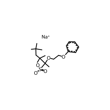 CC(C)(C)CC(C)(C)C(C)(OCCOc1ccccc1)S(=O)(=O)[O-].[Na+]